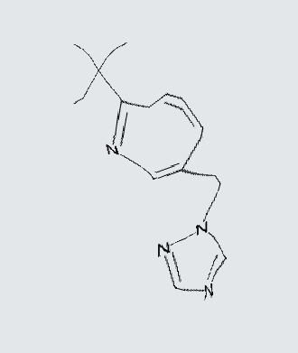 CC(C)(C)c1ccc(Cn2cncn2)cn1